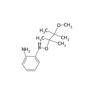 COC(C)(C)C(C)(C)OBc1ccccc1N